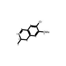 COc1cc2c(cc1Cl)C=NC(C)C2